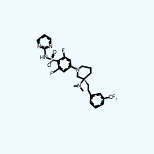 CN(C)[C@@]1(CCc2cccc(C(F)(F)F)c2)CCCN(c2cc(F)c(S(=O)(=O)Nc3ncccn3)c(F)c2)C1